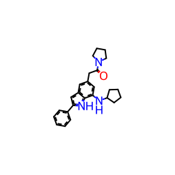 O=C(Cc1cc(NC2CCCC2)c2[nH]c(-c3ccccc3)cc2c1)N1CCCC1